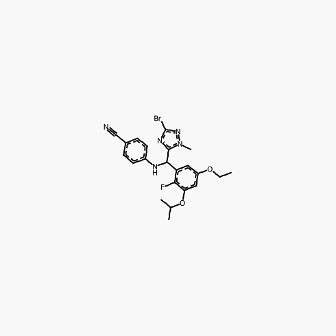 CCOc1cc(OC(C)C)c(F)c(C(Nc2ccc(C#N)cc2)c2nc(Br)nn2C)c1